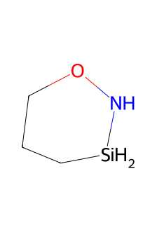 C1CON[SiH2]C1